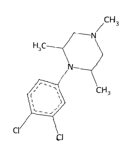 CC1CN(C)CC(C)N1c1ccc(Cl)c(Cl)c1